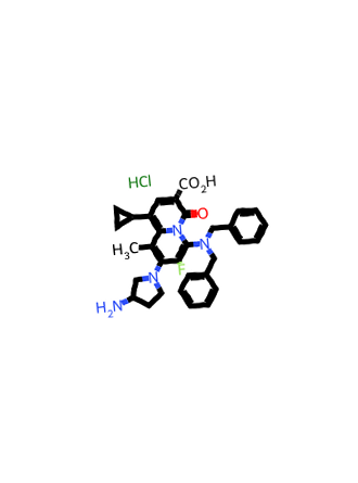 Cc1c(N2CCC(N)C2)c(F)c(N(Cc2ccccc2)Cc2ccccc2)n2c(=O)c(C(=O)O)cc(C3CC3)c12.Cl